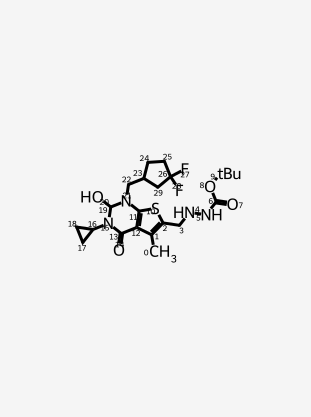 Cc1c(CNNC(=O)OC(C)(C)C)sc2c1C(=O)N(C1CC1)C(O)N2CC1CCC(F)(F)C1